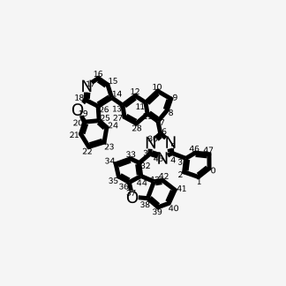 c1ccc(-c2nc(-c3cccc4cc(-c5ccnc6oc7ccccc7c56)ccc34)nc(-c3cccc4oc5ccccc5c34)n2)cc1